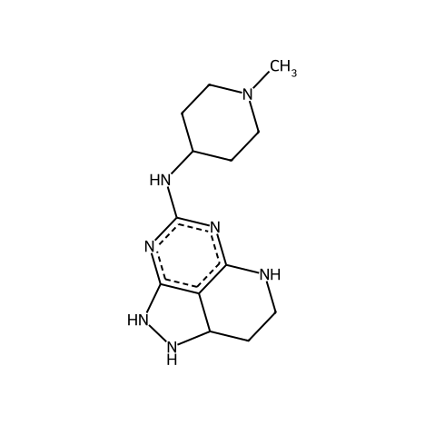 CN1CCC(Nc2nc3c4c(n2)NNC4CCN3)CC1